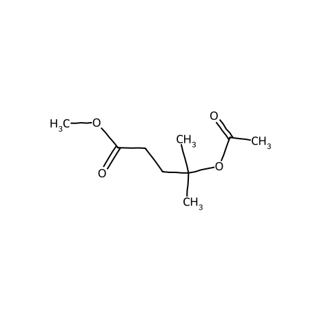 COC(=O)CCC(C)(C)OC(C)=O